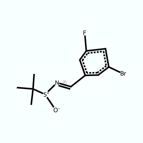 CC(C)(C)[S+]([O-])/N=C/c1cc(F)cc(Br)c1